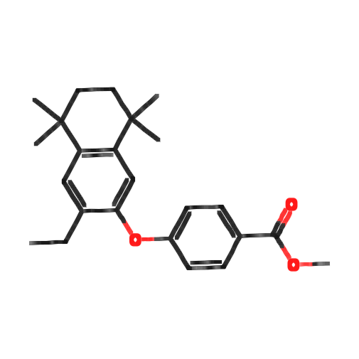 CCc1cc2c(cc1Oc1ccc(C(=O)OC)cc1)C(C)(C)CCC2(C)C